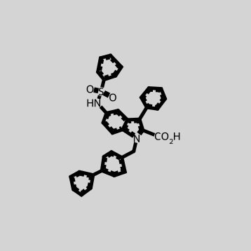 O=C(O)c1c(-c2ccccc2)c2cc(NS(=O)(=O)c3ccccc3)ccc2n1Cc1ccc(-c2ccccc2)cc1